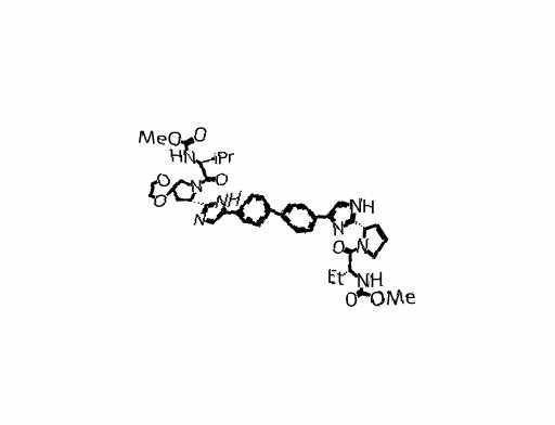 CC[C@@H](NC(=O)OC)C(=O)N1CC=C[C@H]1c1nc(-c2ccc(-c3ccc(-c4cnc([C@@H]5CC6(CN5C(=O)[C@@H](NC(=O)OC)C(C)C)OCCO6)[nH]4)cc3)cc2)c[nH]1